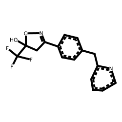 OC1(C(F)(F)F)CC(c2ccc(Cc3ccccn3)cc2)=NO1